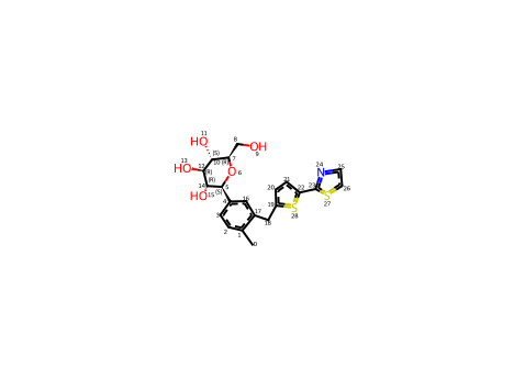 Cc1ccc([C@@H]2O[C@H](CO)[C@@H](O)[C@H](O)[C@H]2O)cc1Cc1ccc(-c2nccs2)s1